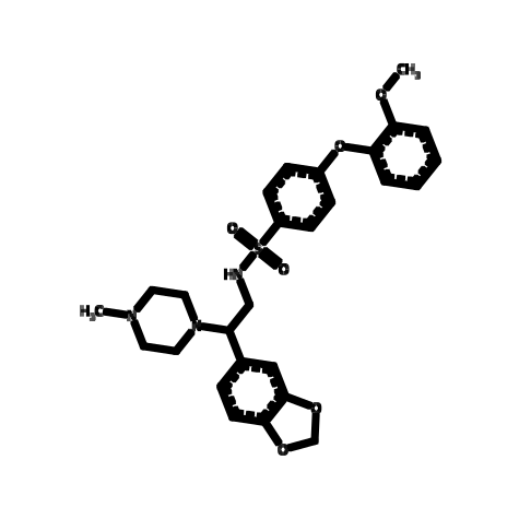 COc1ccccc1Oc1ccc(S(=O)(=O)NCC(c2ccc3c(c2)OCO3)N2CCN(C)CC2)cc1